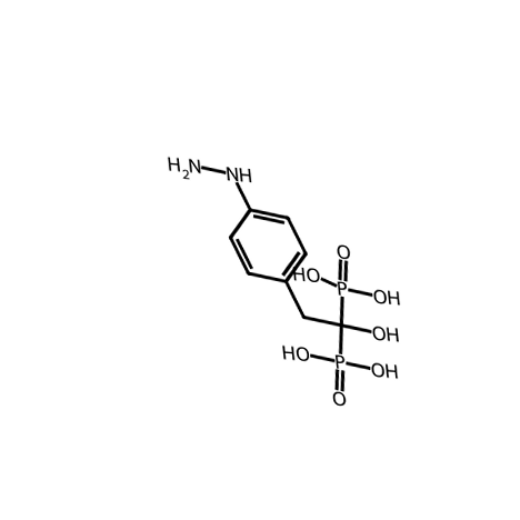 NNc1ccc(CC(O)(P(=O)(O)O)P(=O)(O)O)cc1